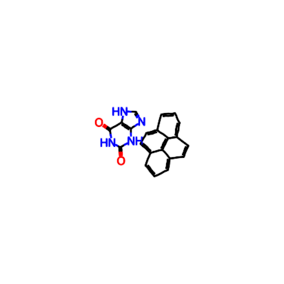 O=c1[nH]c(=O)c2[nH]cnc2[nH]1.c1cc2ccc3cccc4ccc(c1)c2c34